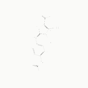 CC(=O)c1sc(=Nc2ccc(NC(=O)O)cc2)n(C)c1C